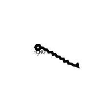 Nc1ccccc1CC(=O)CCCCCCCCCCCCCCC1CC1